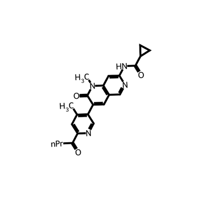 CCCC(=O)c1cc(C)c(-c2cc3cnc(NC(=O)C4CC4)cc3n(C)c2=O)cn1